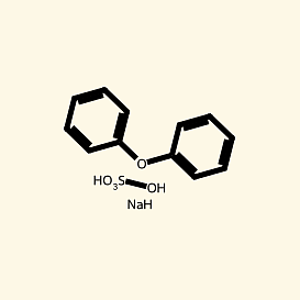 O=S(=O)(O)O.[NaH].c1ccc(Oc2ccccc2)cc1